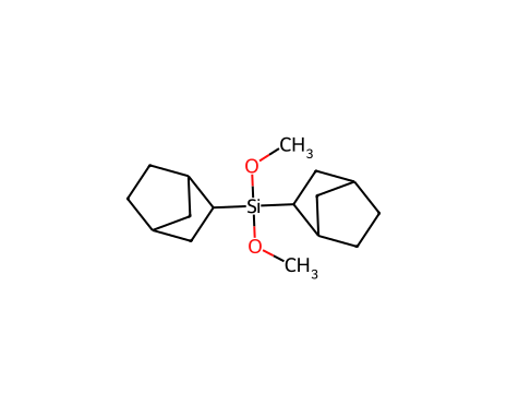 CO[Si](OC)(C1CC2CCC1C2)C1CC2CCC1C2